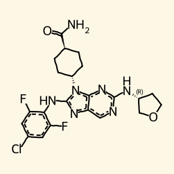 NC(=O)[C@H]1CC[C@H](n2c(Nc3c(F)cc(Cl)cc3F)nc3cnc(N[C@@H]4CCOC4)nc32)CC1